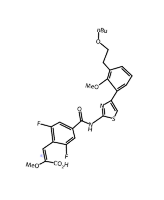 CCCCOCCc1cccc(-c2csc(NC(=O)c3cc(F)c(/C=C(/OC)C(=O)O)c(F)c3)n2)c1OC